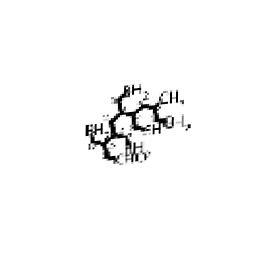 BCC(C)CC(CS)C(CB)CC(CB)C(CB)CC=O